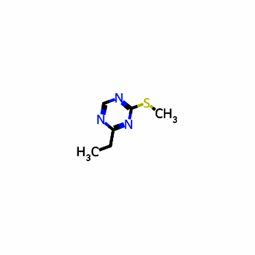 CCc1ncnc(SC)n1